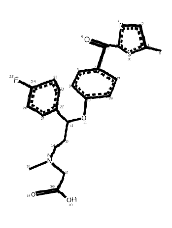 Cc1cnc(C(=O)c2ccc(OC(CCN(C)CC(=O)O)c3ccc(F)cc3)cc2)s1